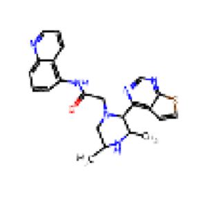 CC1CN(CC(=O)Nc2cccc3ncccc23)C(c2ncnc3sccc23)C(C)N1